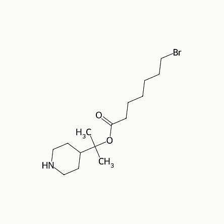 CC(C)(OC(=O)CCCCCCBr)C1CCNCC1